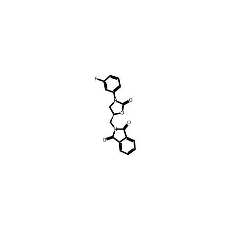 O=C1c2ccccc2C(=O)N1C[C@H]1CN(c2cccc(F)c2)C(=O)O1